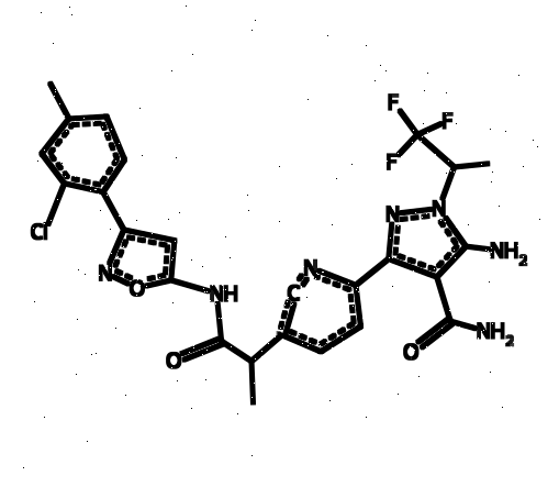 Cc1ccc(-c2cc(NC(=O)C(C)c3ccc(-c4nn(C(C)C(F)(F)F)c(N)c4C(N)=O)nc3)on2)c(Cl)c1